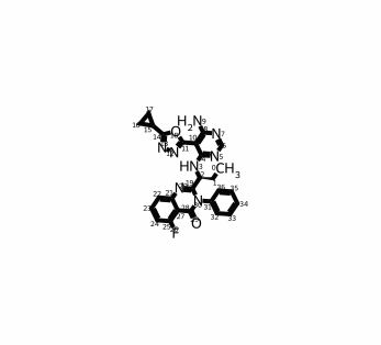 CC[C@H](Nc1ncnc(N)c1-c1nnc(C2CC2)o1)c1nc2cccc(F)c2c(=O)n1-c1ccccc1